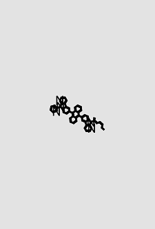 CC/C=C\C=C(/C)n1c2ccc(-c3c4ccccc4c(-c4ccc5c(c4)c4cccnc4n5-c4ccccn4)c4ccccc34)cc2c2cccnc21